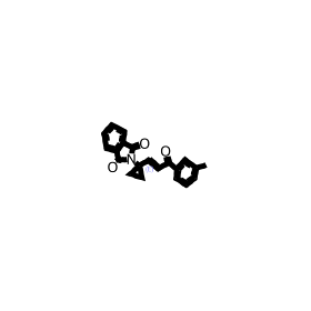 Cc1cccc(C(=O)/C=C/C2(N3C(=O)c4ccccc4C3=O)CC2)c1